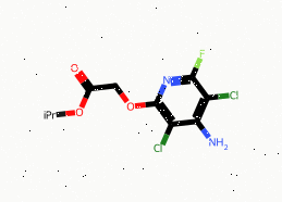 CC(C)OC(=O)COc1nc(F)c(Cl)c(N)c1Cl